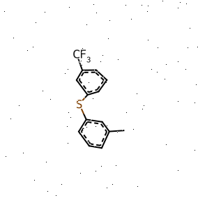 Cc1cccc(Sc2cccc(C(F)(F)F)c2)c1